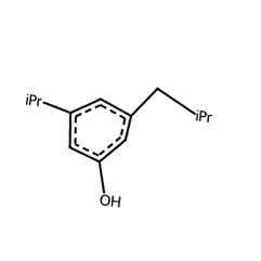 CC(C)Cc1cc(O)cc(C(C)C)c1